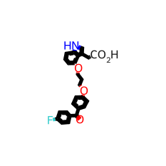 O=C(O)Cc1c[nH]c2cccc(OCCCOc3ccc(C(=O)c4ccc(F)cc4)cc3)c12